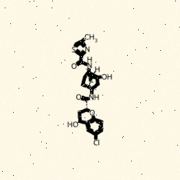 Cc1csc(C(=O)NC23CCC(NC(=O)[C@H]4C[C@@H](O)c5cc(Cl)ccc5O4)(CC2)C[C@@H]3O)n1